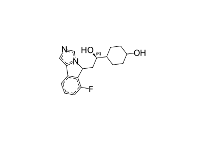 OC1CCC([C@H](O)CC2c3c(F)cccc3-c3cncn32)CC1